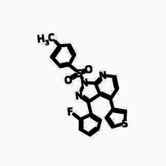 Cc1ccc(S(=O)(=O)n2nc(-c3ccccc3F)c3c(-c4ccsc4)ccnc32)cc1